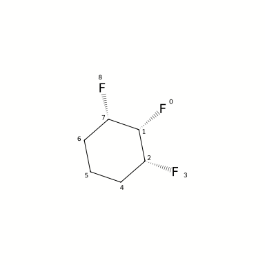 F[C@@H]1[C@H](F)CCC[C@@H]1F